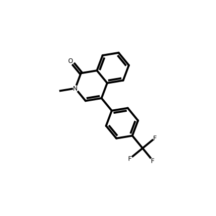 Cn1cc(-c2ccc(C(F)(F)F)cc2)c2ccccc2c1=O